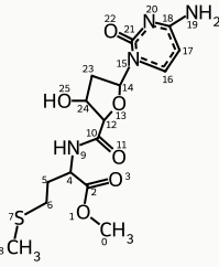 COC(=O)C(CCSC)NC(=O)C1OC(n2ccc(N)nc2=O)CC1O